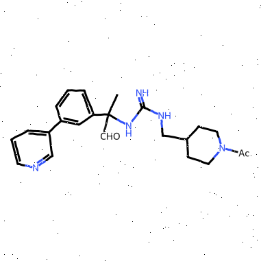 CC(=O)N1CCC(CNC(=N)NC(C)(C=O)c2cccc(-c3cccnc3)c2)CC1